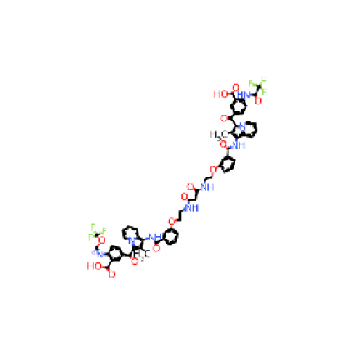 Cc1c(NC(=O)c2cccc(OCCNC(=O)CC(=O)NCCOc3cccc(C(=O)Nc4c(C)c(C(=O)c5ccc(NC(=O)C(F)(F)F)c(C(=O)O)c5)n5ccccc45)c3)c2)c2ccccn2c1C(=O)c1ccc(/N=C\OC(F)(F)F)c(C(=O)O)c1